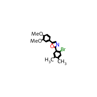 COc1ccc(-c2cnc(-c3cc(C)c(C)cc3Br)o2)cc1OC